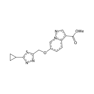 COC(=O)c1cnn2cc(OCc3nnc(C4CC4)s3)ccc12